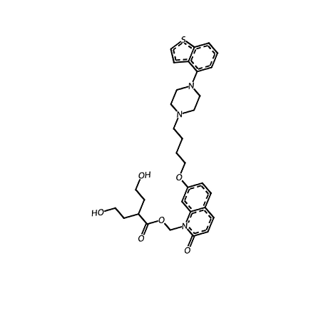 O=C(OCn1c(=O)ccc2ccc(OCCCCN3CCN(c4cccc5sccc45)CC3)cc21)C(CCO)CCO